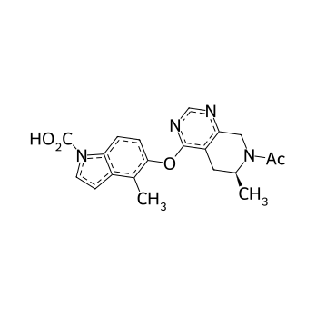 CC(=O)N1Cc2ncnc(Oc3ccc4c(ccn4C(=O)O)c3C)c2C[C@@H]1C